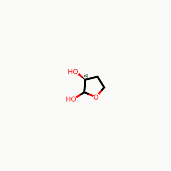 OC1OCC[C@@H]1O